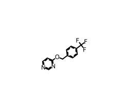 FC(F)(F)c1ccc(COc2ccncn2)cc1